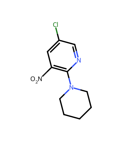 O=[N+]([O-])c1cc(Cl)cnc1N1CCCCC1